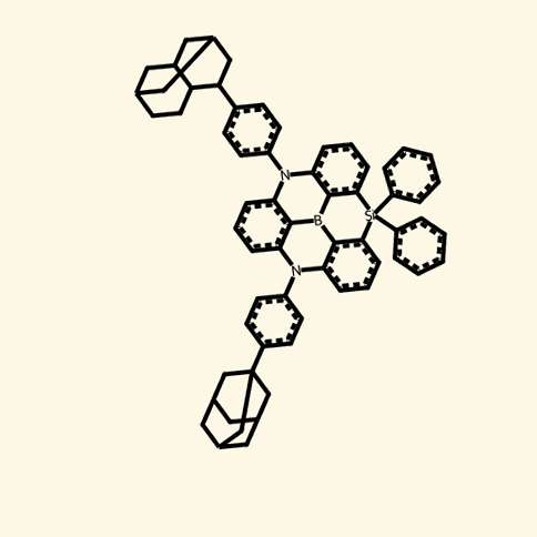 c1ccc([Si]2(c3ccccc3)c3cccc4c3B3c5c(cccc5N(c5ccc(C67CC8CC(CC(C8)C6)C7)cc5)c5cccc2c53)N4c2ccc(C3CC4CC5CCC3C(C5)C4)cc2)cc1